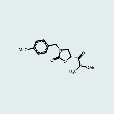 COc1ccc(CN2C[C@H](C(=O)N(C)OC)OC2=O)cc1